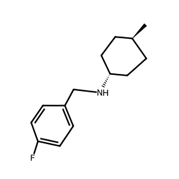 C[C@H]1CC[C@H](NCc2ccc(F)cc2)CC1